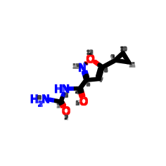 NC(=O)NC(=O)c1cc(C2CC2)on1